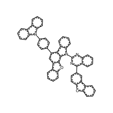 c1ccc2c(-c3ccc4oc5ccccc5c4c3)nc(-n3c4ccccc4c4c(-c5ccc(-n6c7ccccc7c7ccccc76)cc5)cc5c6ccccc6oc5c43)nc2c1